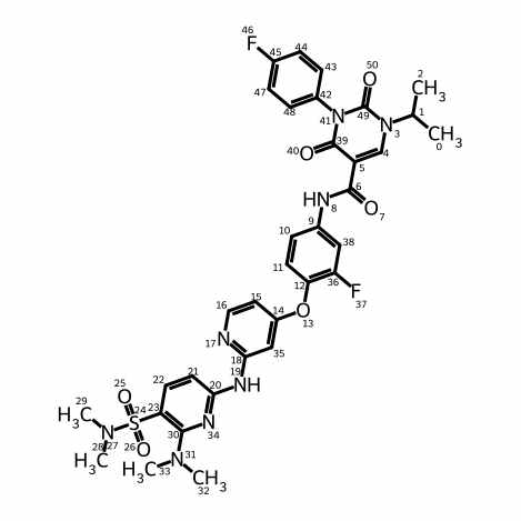 CC(C)n1cc(C(=O)Nc2ccc(Oc3ccnc(Nc4ccc(S(=O)(=O)N(C)C)c(N(C)C)n4)c3)c(F)c2)c(=O)n(-c2ccc(F)cc2)c1=O